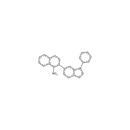 O=[N+]([O-])c1c(-c2ccc3ccn(-c4ccccc4)c3c2)ccc2ccccc12